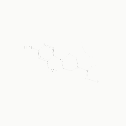 COc1cc(N)ncc1N1CCN(C(=O)OC(C)(C)C)[C@@H](C(C)O)C1